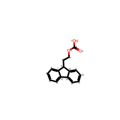 O=C(O)OCCC1c2ccccc2-c2ccccc21